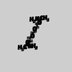 CC(N)OCCOCCOCCOC(C)N